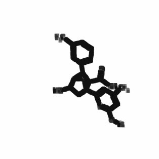 CCOc1cc(C(F)(F)F)cc(C23CC(O)C(O2)C(c2cccc(C(F)(F)F)c2)C3C(N)=O)n1